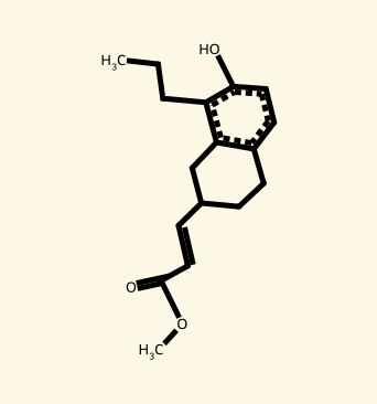 CCCc1c(O)ccc2c1CC(/C=C/C(=O)OC)CC2